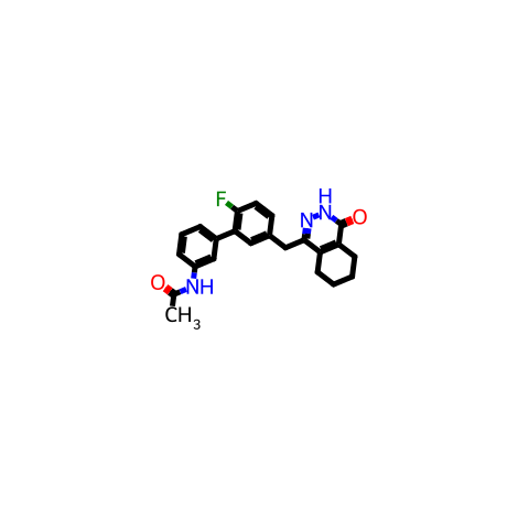 CC(=O)Nc1cccc(-c2cc(Cc3n[nH]c(=O)c4c3CCCC4)ccc2F)c1